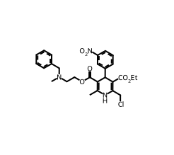 CCOC(=O)C1=C(CCl)NC(C)=C(C(=O)OCCN(C)Cc2ccccc2)C1c1cccc([N+](=O)[O-])c1